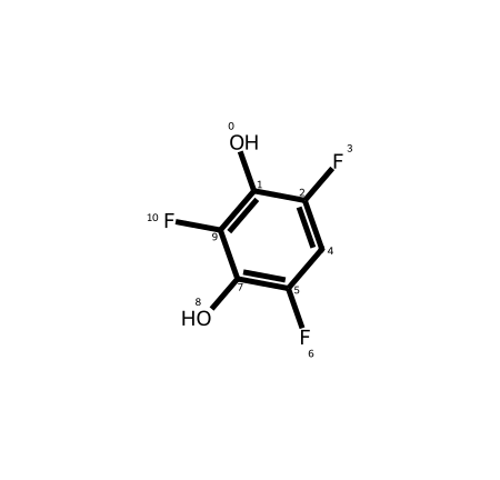 Oc1c(F)cc(F)c(O)c1F